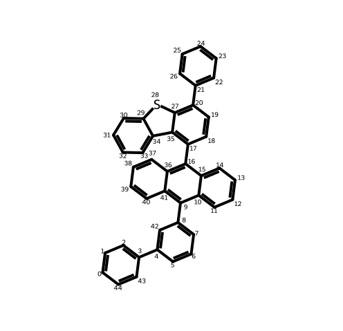 c1ccc(-c2cccc(-c3c4ccccc4c(-c4ccc(-c5ccccc5)c5sc6ccccc6c45)c4ccccc34)c2)cc1